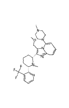 COCc1c([C@H]2CCC[C@@H](c3ncccc3C(F)(F)F)N2C)nc2cccc(N3CCN(C)CC3)n12